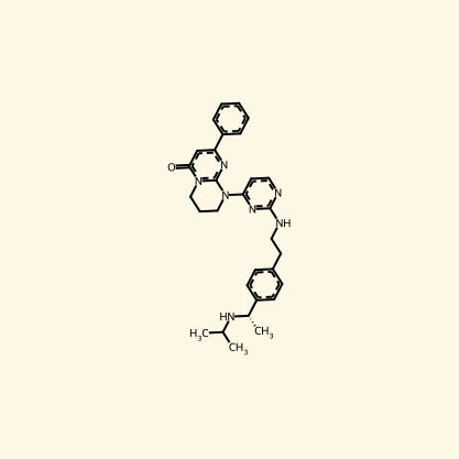 CC(C)N[C@@H](C)c1ccc(CCNc2nccc(N3CCCn4c3nc(-c3ccccc3)cc4=O)n2)cc1